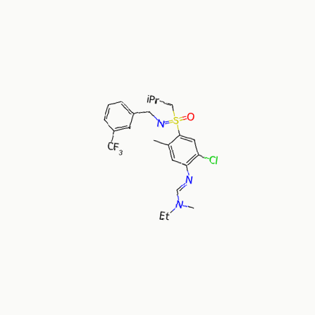 CCN(C)C=Nc1cc(C)c(S(=O)(CC(C)C)=NCc2cccc(C(F)(F)F)c2)cc1Cl